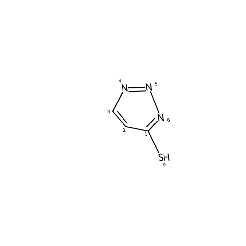 Sc1ccnnn1